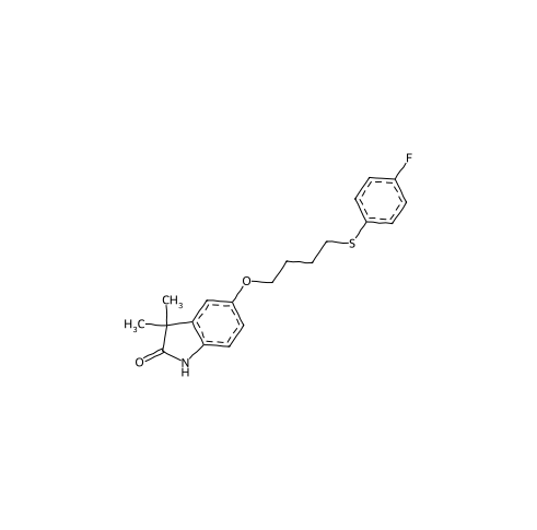 CC1(C)C(=O)Nc2ccc(OCCCCSc3ccc(F)cc3)cc21